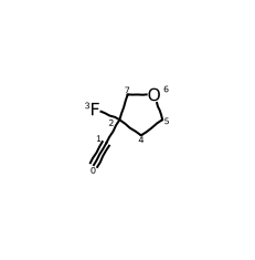 C#CC1(F)CCOC1